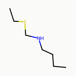 CCCCNCSCC